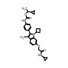 CC(OC(=O)Nc1ccc(-c2c(N)c3ccc(OCC(=O)NC4CC4)cc3n2C2CCC2)cc1)C1CC1